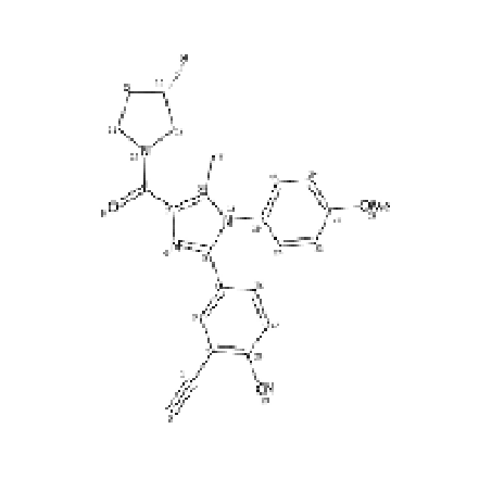 C#Cc1cc(-c2nc(C(=O)N3CC[C@H](C)C3)c(C)n2-c2ccc(OC)cc2)ccc1C#N